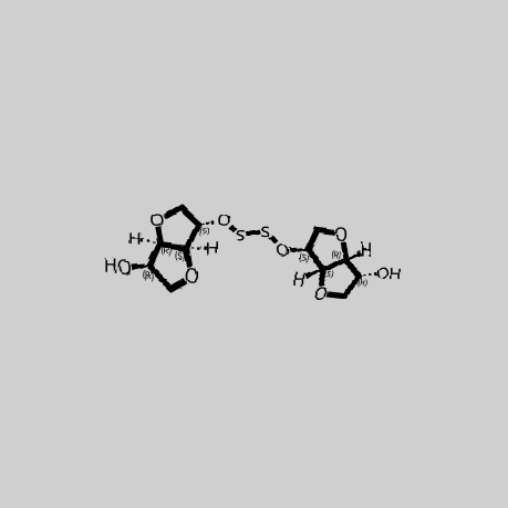 O[C@@H]1CO[C@H]2[C@@H]1OC[C@@H]2OSSO[C@H]1CO[C@H]2[C@@H]1OC[C@H]2O